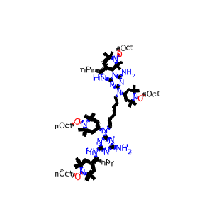 CCCCCCCCON1C(C)(C)CC(C(CCC)Nc2nc(N)nc(N(CCCCCCN(c3nc(N)nc(NC(CCC)C4CC(C)(C)N(OCCCCCCCC)C(C)(C)C4)n3)C3CC(C)(C)N(OCCCCCCCC)C(C)(C)C3)C3CC(C)(C)N(OCCCCCCCC)C(C)(C)C3)n2)CC1(C)C